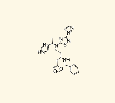 CC(c1c[nH]cn1)N(CCC(CC1=COCO1)NCc1ccccc1)c1nc(-n2ccnc2)ns1